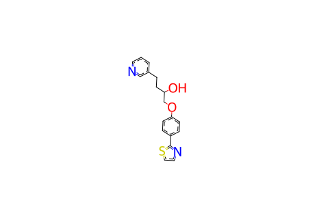 OC(CCc1cccnc1)COc1ccc(-c2nccs2)cc1